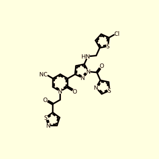 N#Cc1cc(-c2cc(NCc3ccc(Cl)s3)n(C(=O)c3cscn3)n2)c(=O)n(CC(=O)c2ccns2)c1